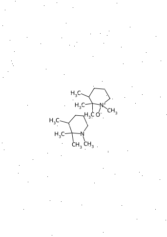 CC1CCCN(C)C1(C)C.CC1CCC[N+](C)([O-])C1(C)C